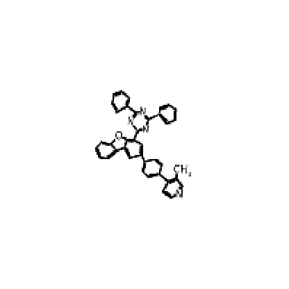 Cc1cnccc1-c1ccc(-c2cc(-c3nc(-c4ccccc4)nc(-c4ccccc4)n3)c3oc4ccccc4c3c2)cc1